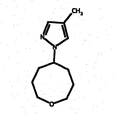 Cc1cnn(C2CCCOCCC2)c1